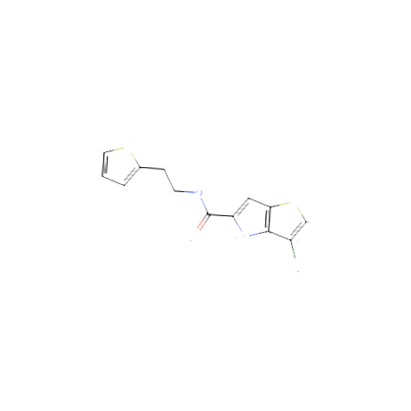 O=C(NCCc1cccs1)c1cc2scc(Cl)c2[nH]1